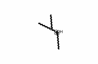 CCCCCCCCCCCCOP(=O)(O)OCCCN(CCCCCCCCCCC)CCCCCCCCCCC